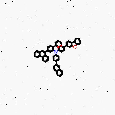 c1ccc(-c2ccc(-c3cc4ccccc4c4ccccc34)cc2N(c2ccc(-c3ccc4ccccc4c3)cc2)c2ccc(-c3ccc4c(c3)oc3ccccc34)cc2)cc1